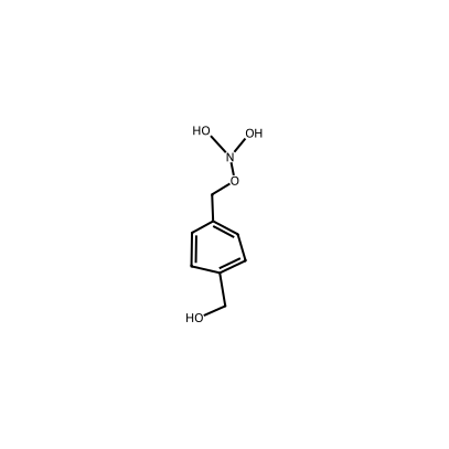 OCc1ccc(CON(O)O)cc1